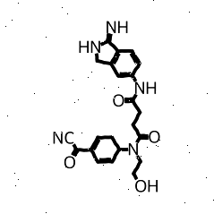 N#CC(=O)C1=CCC(N(CCO)C(=O)CCC(=O)Nc2ccc3c(c2)CNC3=N)C=C1